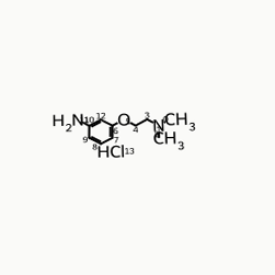 CN(C)CCOc1cccc(N)c1.Cl